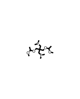 COC(C)OCC(COC(C)OC)(CP(C)C)CP(C)C